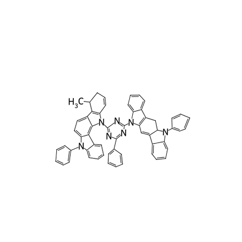 CC1CC=Cc2c1c1ccc3c(c4ccccc4n3-c3ccccc3)c1n2-c1nc(-c2ccccc2)nc(-n2c3c(c4ccccc42)CC2C(=C3)c3ccccc3N2c2ccccc2)n1